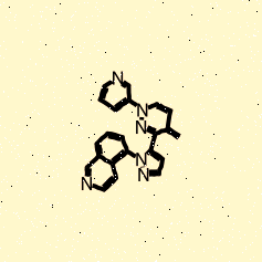 C=C1C=CN(c2cccnc2)N=C1c1ccnn1-c1cccc2cnccc12